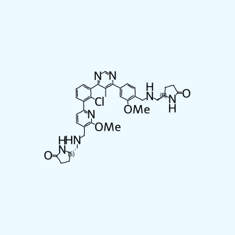 COc1cc(-c2ncnc(-c3cccc(-c4ccc(CNC[C@@H]5CCC(=O)N5)c(OC)n4)c3Cl)c2C)ccc1CNC[C@H]1CCC(=O)N1